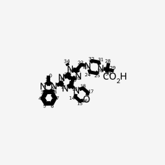 Cc1nc2ccccc2n1-c1nc(N2CCOCC2)c2nc(CN3CCN(C(C)(C)C(=O)O)CC3)n(C)c2n1